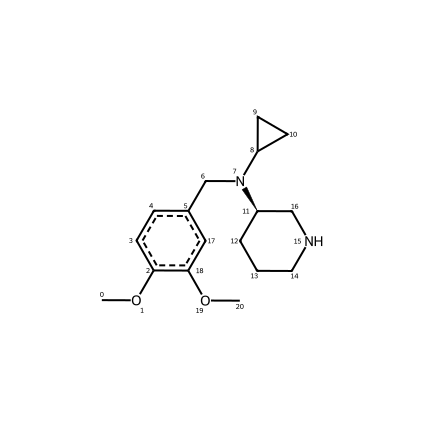 COc1ccc(CN(C2CC2)[C@@H]2CCCNC2)cc1OC